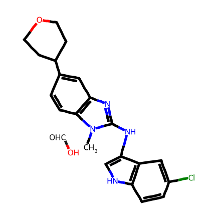 Cn1c(Nc2c[nH]c3ccc(Cl)cc23)nc2cc(C3CCOCC3)ccc21.O=CO